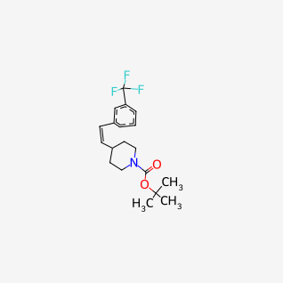 CC(C)(C)OC(=O)N1CCC(/C=C\c2cccc(C(F)(F)F)c2)CC1